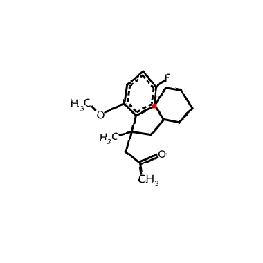 COc1ccc(F)cc1C(C)(CC(C)=O)CC1CCCCC1